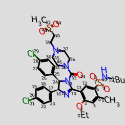 CCOc1cc(C)c(S(=O)(=O)NC(C)(C)C)cc1C1=N[C@@H](c2ccc(Cl)cc2)[C@@H](c2ccc(Cl)cc2)N1C(=O)N1CCN(CCS(C)(=O)=O)CC1